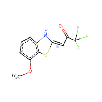 COc1cccc2c1S/C(=C/C(=O)C(F)(F)F)N2